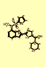 CN(c1cccc2cc(C3=NCC(C(O)N4CCSCC4)S3)[nH]c12)S(=O)(=O)c1cccs1